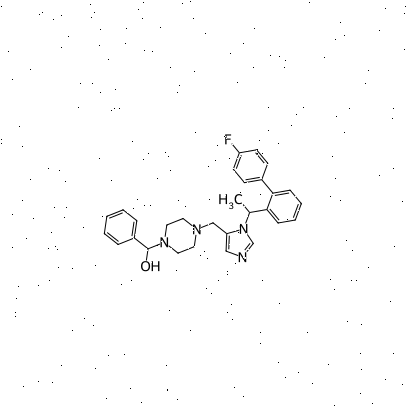 CC(c1ccccc1-c1ccc(F)cc1)n1cncc1CN1CCN(C(O)c2ccccc2)CC1